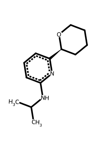 CC(C)Nc1cccc([C@@H]2CCCCO2)n1